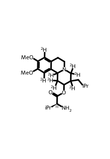 [2H]c1c2c(c([2H])c(OC)c1OC)C1([2H])N(CC2)C([2H])([2H])C([2H])(CC(C)C)C(OC(=O)[C@@H](N)C(C)C)C1([2H])[2H]